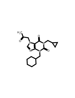 CC(=O)Cn1cnc2c1c(=O)n(CC1CC1)c(=O)n2CC1CCCCC1